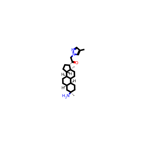 Cc1cnn(CC(=O)[C@H]2CC[C@H]3[C@@H]4CC[C@@H]5C[C@](C)(N)CC[C@@H]5C4CC[C@]23C)c1